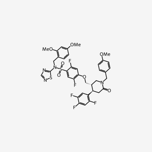 COc1ccc(CN2C[C@@H](COc3cc(F)c(S(=O)(=O)N(Cc4ccc(OC)cc4OC)c4ncns4)cc3F)[C@H](c3cc(F)c(F)cc3F)CC2=O)cc1